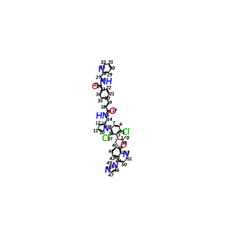 CC(Cc1c(Cl)ccc(-n2cccc2CNC(=O)C=Cc2ccc(C(=O)NCc3ccccn3)cc2)c1Cl)Oc1cccc2c(-n3ccnc3)ccnc12